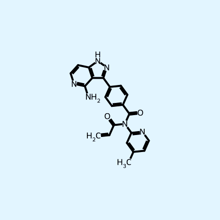 C=CC(=O)N(C(=O)c1ccc(-c2n[nH]c3ccnc(N)c23)cc1)c1cc(C)ccn1